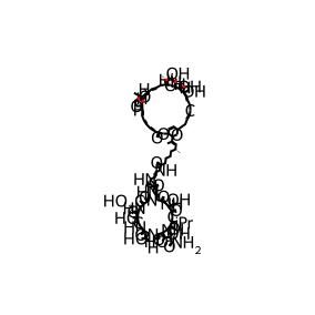 C/C(=C\[C@H](C)CCCCC(=O)NCCNC(C)C(=O)NCC1NC(=O)C(C(=O)O)NC(=O)C(O)CNC(=O)C(C(C)O)NC(=O)C(C(O)C(O)C(N)=O)NC(=O)C(C(C)C)CC(=O)C(CO)NC1=O)C1OC2C=CC1OC(=O)\C=C/C=C\C=C\[C@H]1OC3C[C@@H]1O[C@@H](/C=C/C[C@H]1O[C@H](C[C@H](O)[C@H]1C)[C@@H](O)[C@@H](O)/C=C/CC/C=C/C2)C3C